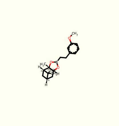 COc1cccc(CCB2O[C@@H]3C[C@@H]4C[C@@H](C4(C)C)[C@]3(C)O2)c1